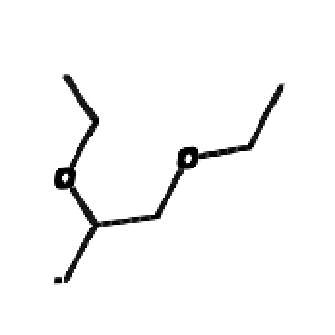 [CH2]C(COCC)OCC